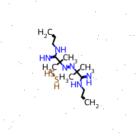 C=CCNC(=N)C(C)(C)N=NC(C)(C)C(=N)NCC=C.SS